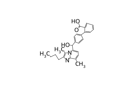 CCCCc1nc2c(C)ccc(C(O)c3ccc(-c4ccccc4C(=O)O)cc3)n2c1C